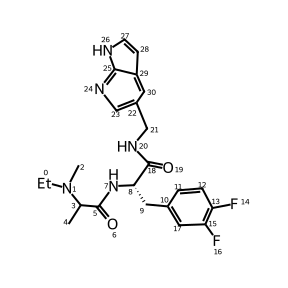 CCN(C)C(C)C(=O)N[C@@H](Cc1ccc(F)c(F)c1)C(=O)NCc1cnc2[nH]ccc2c1